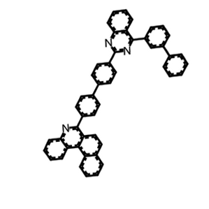 c1ccc(-c2cccc(-c3nc(-c4ccc(-c5ccc(-c6nc7ccccc7c7c6ccc6ccccc67)cc5)cc4)nc4ccccc34)c2)cc1